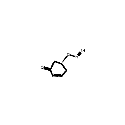 B=NO[C@H]1CC=CC(=O)C1